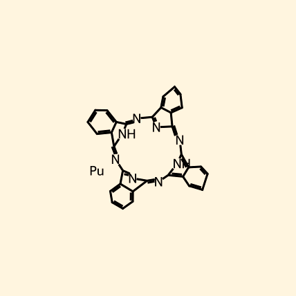 [Pu].c1ccc2c(c1)-c1nc-2nc2[nH]c(nc3nc(nc4[nH]c(n1)c1ccccc41)-c1ccccc1-3)c1ccccc21